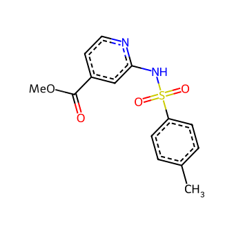 COC(=O)c1ccnc(NS(=O)(=O)c2ccc(C)cc2)c1